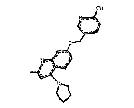 Cc1cc(N2CCCC2)c2ccc(OCc3ccc(C#N)nc3)cc2n1